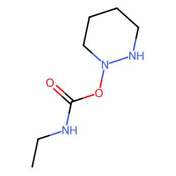 CCNC(=O)ON1CCCCN1